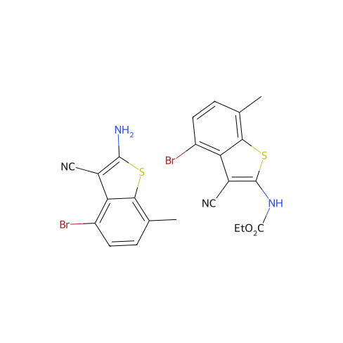 CCOC(=O)Nc1sc2c(C)ccc(Br)c2c1C#N.Cc1ccc(Br)c2c(C#N)c(N)sc12